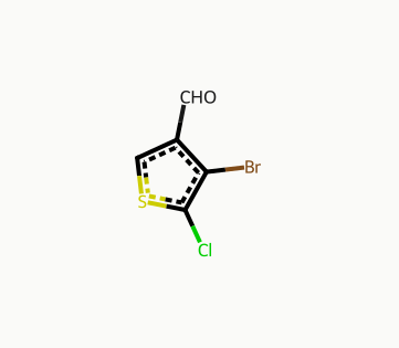 O=Cc1csc(Cl)c1Br